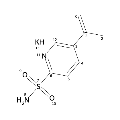 C=C(C)c1ccc(S(N)(=O)=O)nc1.[KH]